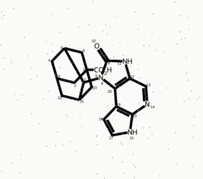 O=C(O)C12CC3CC(C1)C(n1c(=O)[nH]c4cnc5[nH]ccc5c41)C(C3)C2